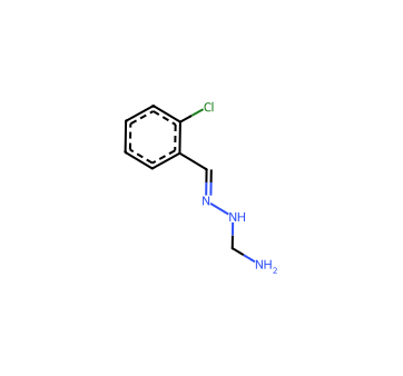 NCN/N=C/c1ccccc1Cl